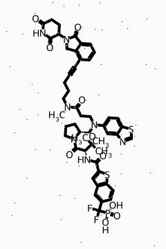 CN(CCCC#Cc1cccc2c1CN(C1CCC(=O)NC1=O)C2=O)C(=O)CCN(C(=O)[C@@H]1CCCN1C(=O)[C@@H](NC(=O)c1cc2cc(C(F)(F)P(=O)(O)O)ccc2s1)C(C)(C)C)c1ccc2scnc2c1